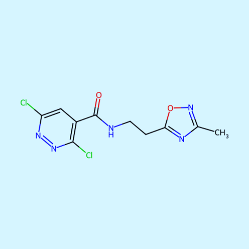 Cc1noc(CCNC(=O)c2cc(Cl)nnc2Cl)n1